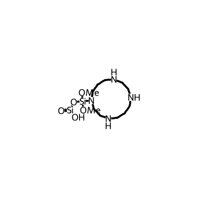 CO[Si](OC)(O[Si](=O)O)N1CCCNCCNCCCNCC1